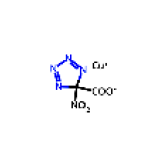 O=C([O-])C1([N+](=O)[O-])N=NN=N1.[Cu+]